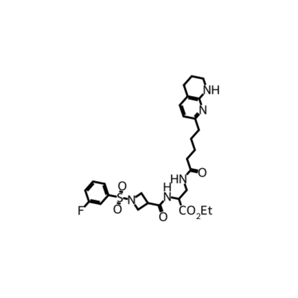 CCOC(=O)C(CNC(=O)CCCCc1ccc2c(n1)NCCC2)NC(=O)C1CN(S(=O)(=O)c2cccc(F)c2)C1